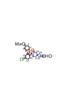 COc1ccc(S(=O)(=O)[N+]2(c3ccc(Cl)cc3)CCC3(CC2)CN(C=O)C3)cc1